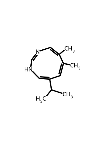 Cc1cnc[nH]cc(C(C)C)cc1C